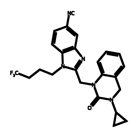 [C-]#[N+]c1ccc2c(c1)nc(CN1C(=O)N(C3CC3)Cc3ccccc31)n2CCCC(F)(F)F